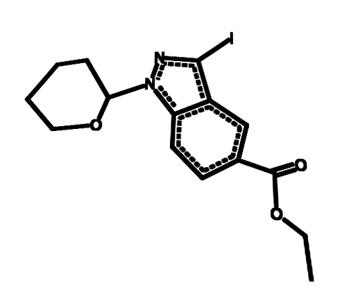 CCOC(=O)c1ccc2c(c1)c(I)nn2C1CCCCO1